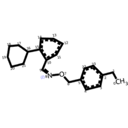 CCc1ccc(CO/N=[C]\c2ccccc2C2CCCCC2)cc1